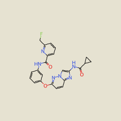 O=C(Nc1cccc(Oc2ccc3nc(NC(=O)C4CC4)cn3n2)c1)c1cccc(CF)n1